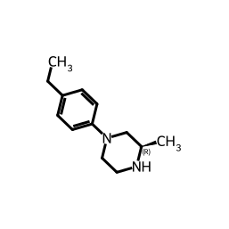 CCc1ccc(N2CCN[C@H](C)C2)cc1